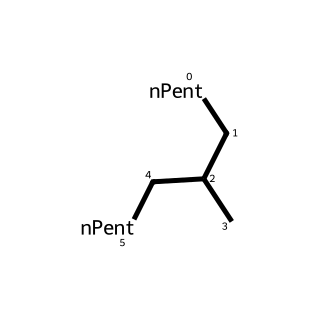 CCCCCCC(C)CCCCCC